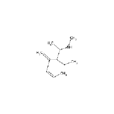 C=C(/C=C\C)C(CC)C(C)NC